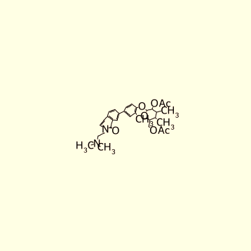 CC(=O)OCC1OC(Oc2ccc(-c3ccc4ccn(CCN(C)C)c(=O)c4c3)cc2C)C(OC(C)=O)C(C)C1C